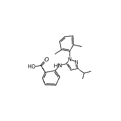 Cc1cccc(C)c1-n1nc(C(C)C)cc1Nc1ccccc1C(=O)O